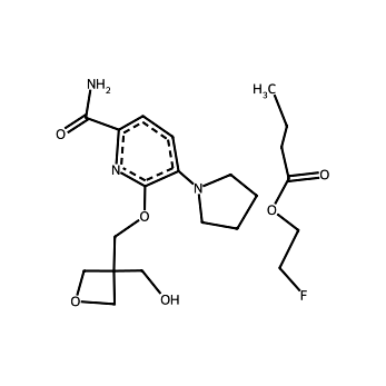 CCCC(=O)OCCF.NC(=O)c1ccc(N2CCCC2)c(OCC2(CO)COC2)n1